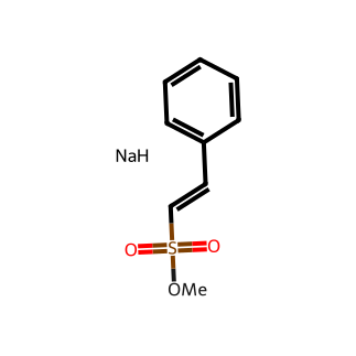 COS(=O)(=O)C=Cc1ccccc1.[NaH]